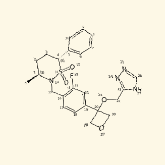 C[C@H]1CC[C@H](c2ccccc2)S(=O)(=O)N1Cc1ccc(C2(OCc3nnc[nH]3)COC2)cc1F